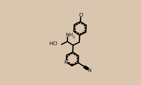 CC(N)C(Cc1ccc(Cl)cc1)c1cncc(C#N)c1.Cl